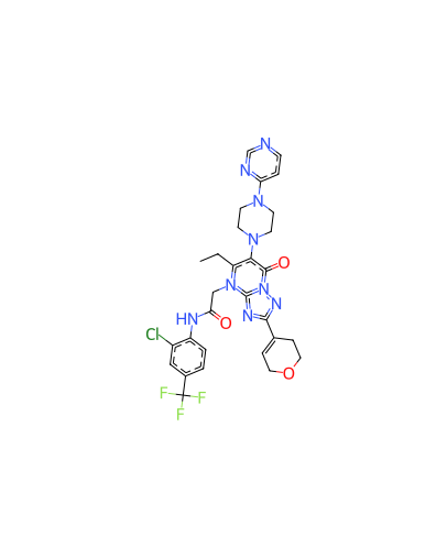 CCc1c(N2CCN(c3ccncn3)CC2)c(=O)n2nc(C3=CCOCC3)nc2n1CC(=O)Nc1ccc(C(F)(F)F)cc1Cl